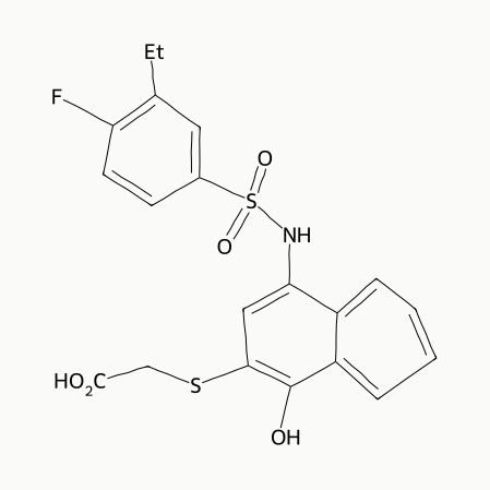 CCc1cc(S(=O)(=O)Nc2cc(SCC(=O)O)c(O)c3ccccc23)ccc1F